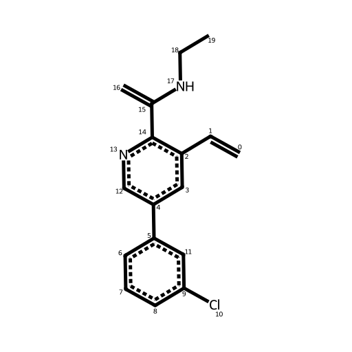 C=Cc1cc(-c2cccc(Cl)c2)cnc1C(=C)NCC